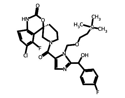 C[Si](C)(C)CCOCn1c(C(=O)N2CCC[C@@]3(C2)OC(=O)Nc2ccc(Cl)c(F)c23)cnc1C(O)c1ccc(F)cc1